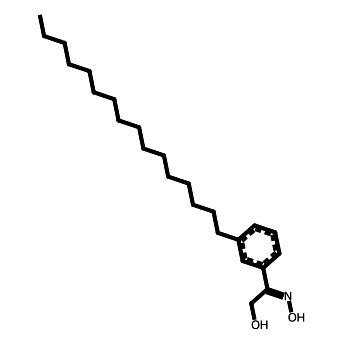 CCCCCCCCCCCCCCCCc1cccc(C(CO)=NO)c1